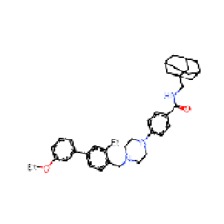 CCOc1cccc(-c2ccc(CN3CCN(c4ccc(C(=O)NCC56CC7CC(CC(C7)C5)C6)cc4)CC3)c(CC)c2)c1